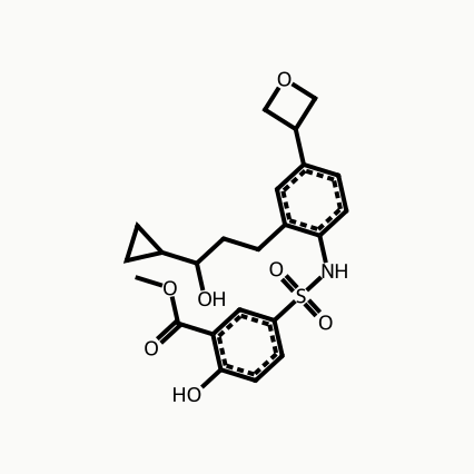 COC(=O)c1cc(S(=O)(=O)Nc2ccc(C3COC3)cc2CCC(O)C2CC2)ccc1O